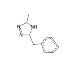 CC1N=NC(Cc2ccccc2)N1